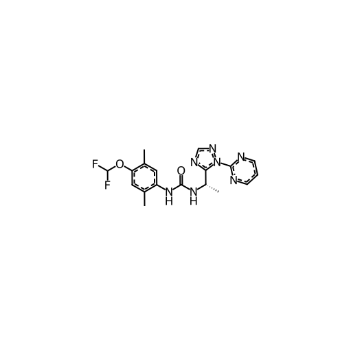 Cc1cc(OC(F)F)c(C)cc1NC(=O)N[C@@H](C)c1ncnn1-c1ncccn1